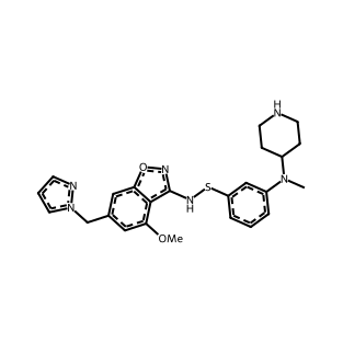 COc1cc(Cn2cccn2)cc2onc(NSc3cccc(N(C)C4CCNCC4)c3)c12